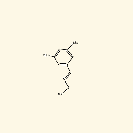 CC(C)(C)S/N=C/c1cc(C(C)(C)C)cc(C(C)(C)C)c1